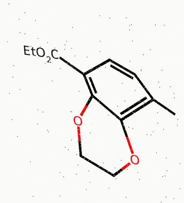 CCOC(=O)c1ccc(C)c2c1OCCO2